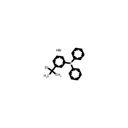 Br.CCC(C)(C)c1cccc(P(c2ccccc2)c2ccccc2)c1